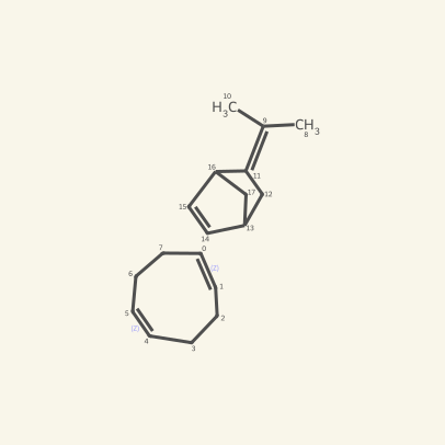 C1=C\CC/C=C\CC/1.CC(C)=C1CC2C=CC1C2